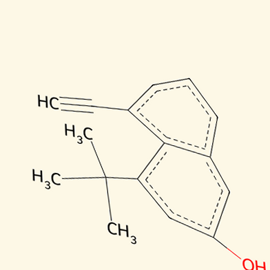 C#Cc1cccc2cc(O)cc(C(C)(C)C)c12